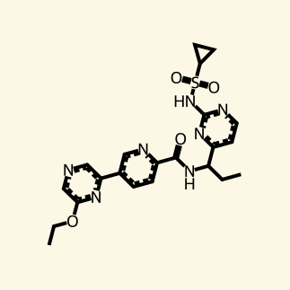 CCOc1cncc(-c2ccc(C(=O)NC(CC)c3ccnc(NS(=O)(=O)C4CC4)n3)nc2)n1